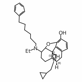 CCN(CCCCCCc1ccccc1)C1CC[C@@]2(O)[C@H]3Cc4ccc(O)c5c4[C@@]2(CCN3CC2CC2)C1O5